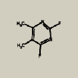 Cc1nc(F)nc(F)c1C